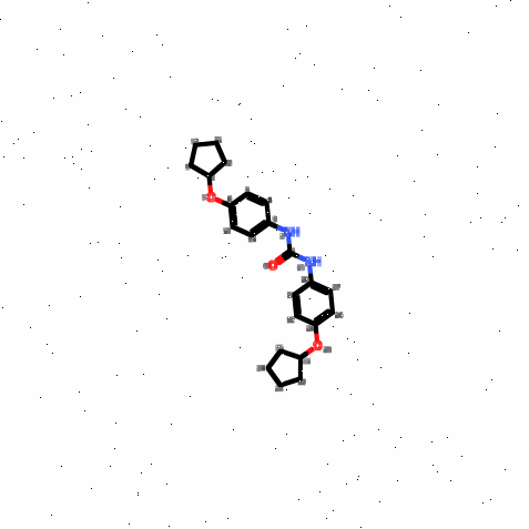 O=C(Nc1ccc(OC2CCCC2)cc1)Nc1ccc(OC2CCCC2)cc1